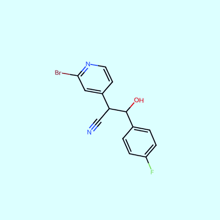 N#CC(c1ccnc(Br)c1)C(O)c1ccc(F)cc1